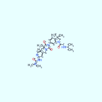 CC(C)NCC(=O)N1CC(C)(C)c2ccc(N3C(=O)N(Cc4ccnc(NC(=O)N(C)C)c4)C(C)(C)C3=O)cc21